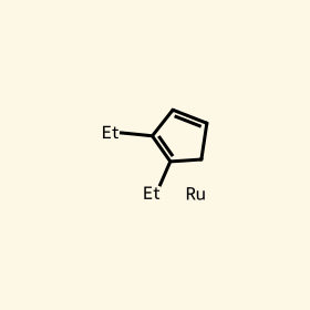 CCC1=C(CC)CC=C1.[Ru]